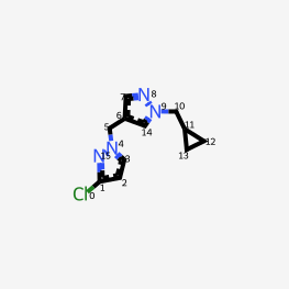 Clc1ccn(Cc2cnn(CC3CC3)c2)n1